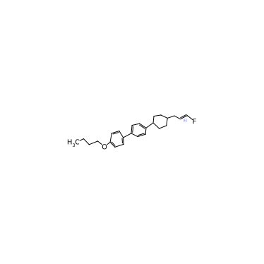 CCCCOc1ccc(-c2ccc(C3CCC(C/C=C/F)CC3)cc2)cc1